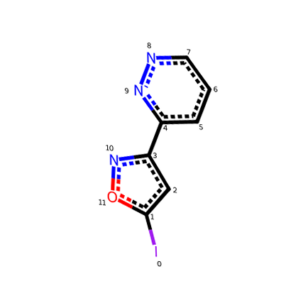 Ic1cc(-c2cccnn2)no1